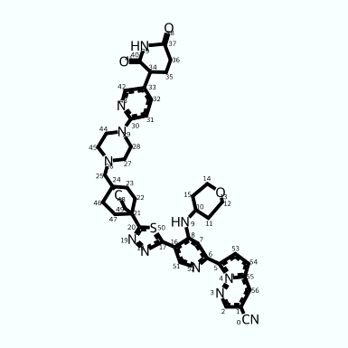 N#Cc1cnn2c(-c3cc(NC4CCOCC4)c(-c4nnc(C56CCC(CN7CCN(c8ccc(C9CCC(=O)NC9=O)cn8)CC7)(CC5)CC6)s4)cn3)ccc2c1